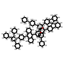 c1ccc(-c2ccc(-c3nc(-c4ccc(-c5ccccc5)cc4)nc(-c4ccc5c(c4)C4(c6ccccc6-c6ccc(-c7ccc8cc(-c9c%10ccccc%10c(-c%10ccc(-n%11c(-c%12ccccc%12)nc(-c%12ccccc%12)c%11-c%11ccccc%11)cc%10)c%10ccccc9%10)ccc8c7)cc64)c4ccccc4-5)n3)cc2)cc1